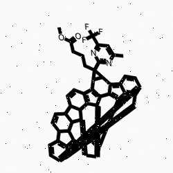 COC(=O)CCCC1(c2nc(C)cc(C(F)(F)F)n2)C2c3c4c5c6c3c3c(c7ccc8c9ccc%10c%11c%12c%13c(c6c6c%13c(c%119)c8c7c36)=C3C5C(C=C4)C4C=CC%10C%12C34)C21